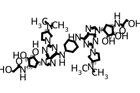 CN(C)[C@@H]1CCN(c2nc(N[C@H]3CC[C@H](Nc4nc(N5CC[C@@H](N(C)C)C5)nc5c4ncn5[C@@H]4C[C@H](NC(=O)CO)[C@@H](O)[C@H]4O)CC3)c3ncn([C@@H]4C[C@H](NC(=O)CO)[C@@H](O)[C@H]4O)c3n2)C1